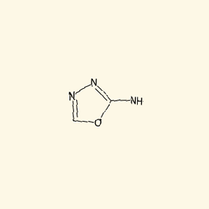 [NH]c1nnco1